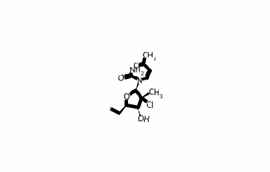 CC(=O)/C=C\N(C(N)=O)[C@@H]1O[C@H](CI)[C@@H](O)[C@@]1(C)Cl